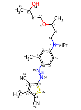 Cc1cc(N(CCC(C)OCCC(C)O)C(C)C)ccc1/N=N/c1sc(C#N)c(C)c1C#N